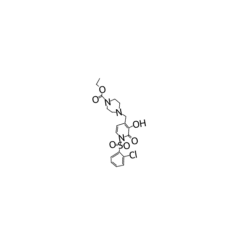 CCOC(=O)N1CCN(Cc2ccn(S(=O)(=O)c3ccccc3Cl)c(=O)c2O)CC1